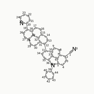 N#Cc1ccc2c3c1ccc1c(-c4ccc5ccc6c(-c7ccccn7)ccc7ccc4c5c76)ccc(c13)n2-c1ccccc1